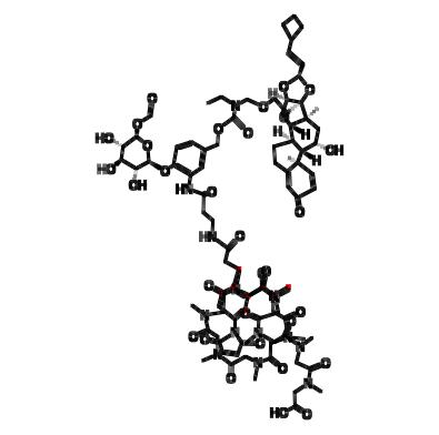 CCN(COCC(=O)[C@@]12O[C@H](/C=C/C3CCC3)O[C@@H]1C[C@H]1[C@@H]3CCC4=CC(=O)C=C[C@]4(C)[C@H]3[C@@H](O)C[C@@]12C)C(=O)OCc1ccc(O[C@@H]2O[C@H](OC=O)[C@@H](O)[C@H](O)[C@H]2O)c(NC(=O)CCNC(=O)CCc2ccc(N3C(=O)C=CC3=O)cc2C(=O)N(C)CC(=O)N(C)CC(=O)N(C)CC(=O)N(C)CC(=O)N(C)CC(=O)N(C)CC(=O)N(C)CC(=O)N(C)CC(=O)N(C)CC(=O)N(C)CC(=O)O)c1